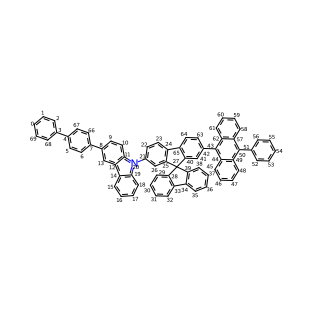 c1ccc(-c2ccc(-c3ccc4c(c3)c3ccccc3n4-c3ccc4c(c3)C3(c5ccccc5-c5ccccc53)c3cc(-c5c6ccccc6c(-c6ccccc6)c6ccccc56)ccc3-4)cc2)cc1